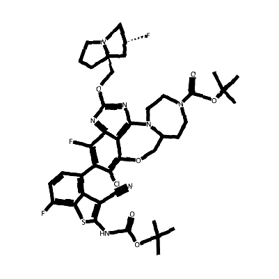 CC(C)(C)OC(=O)Nc1sc2c(F)ccc(-c3c(Cl)c4c5c(nc(OC[C@@]67CCCN6C[C@H](F)C7)nc5c3F)N3CCN(C(=O)OC(C)(C)C)CCC3CO4)c2c1C#N